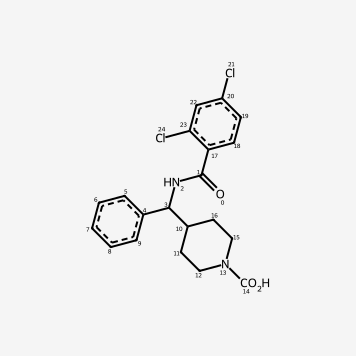 O=C(NC(c1ccccc1)C1CCN(C(=O)O)CC1)c1ccc(Cl)cc1Cl